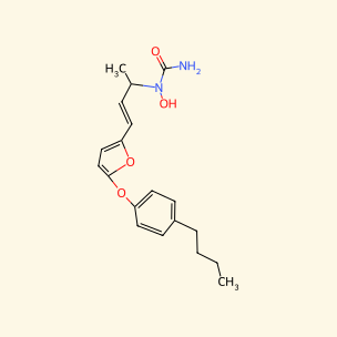 CCCCc1ccc(Oc2ccc(/C=C/C(C)N(O)C(N)=O)o2)cc1